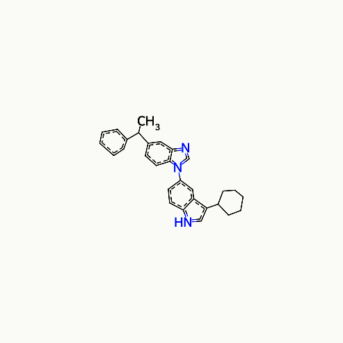 CC(c1ccccc1)c1ccc2c(c1)ncn2-c1ccc2[nH]cc(C3CCCCC3)c2c1